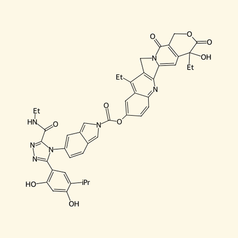 CCNC(=O)c1nnc(-c2cc(C(C)C)c(O)cc2O)n1-c1ccc2cn(C(=O)Oc3ccc4nc5c(c(CC)c4c3)Cn3c-5cc4c(c3=O)COC(=O)C4(O)CC)cc2c1